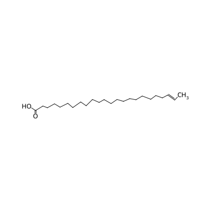 CC=CCCCCCCCCCCCCCCCCCCCCC(=O)O